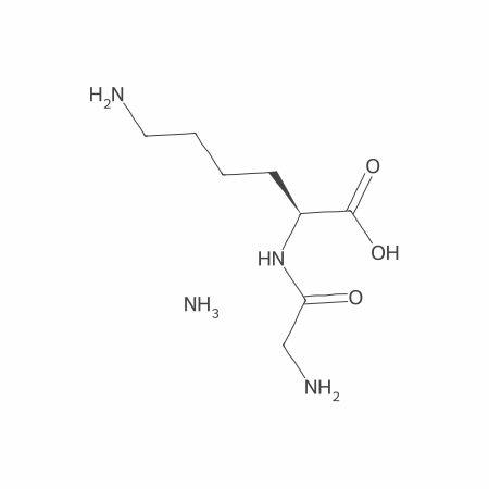 N.NCCCC[C@H](NC(=O)CN)C(=O)O